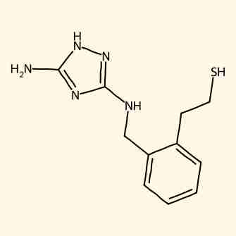 Nc1nc(NCc2ccccc2CCS)n[nH]1